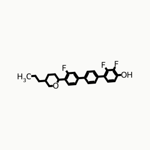 CCCC1CCC(c2ccc(-c3ccc(-c4ccc(O)c(F)c4F)cc3)cc2F)OC1